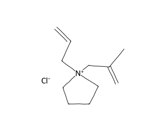 C=CC[N+]1(CC(=C)C)CCCC1.[Cl-]